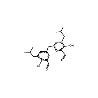 CC(C)Cc1cc(Cc2cc(C=O)c(O)c(CC(C)C)c2)cc(C=O)c1O